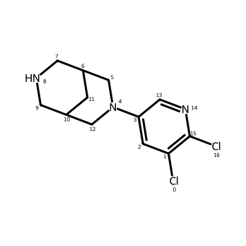 Clc1cc(N2CC3CNCC(C3)C2)cnc1Cl